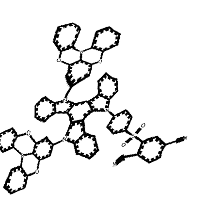 N#Cc1ccc(C#N)c(S(=O)(=O)c2ccc(-n3c4ccccc4c4c3c3c5ccccc5n(-c5cc6c7c(c5)Oc5ccccc5B7c5ccccc5O6)c3c3c5ccccc5n(-c5cc6c7c(c5)Oc5ccccc5B7c5ccccc5O6)c43)cc2)c1